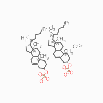 CC(C)CCC[C@@H](C)[C@H]1CCC2C3CC=C4CC(OS(=O)(=O)[O-])CC[C@]4(C)C3CC[C@@]21C.CC(C)CCC[C@@H](C)[C@H]1CCC2C3CC=C4CC(OS(=O)(=O)[O-])CC[C@]4(C)C3CC[C@@]21C.[Ca+2]